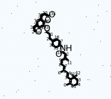 CC1=C(/C=C/C(C)=C/C=C\C(C)=C/C(=O)NC2=CC=C(CCCOc3c4occc4cc4ccc(=O)oc34)CC2)C(C)(C)CCC1